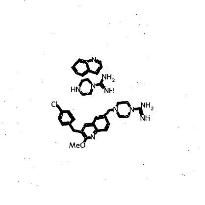 COc1nc2ccc(CN3CCN(C(=N)N)CC3)cc2cc1Cc1ccc(Cl)cc1.N=C(N)N1CCNCC1.c1ccc2ncccc2c1